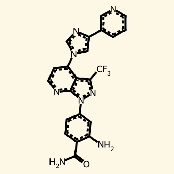 NC(=O)c1ccc(-n2nc(C(F)(F)F)c3c(-n4cnc(-c5cccnc5)c4)ccnc32)cc1N